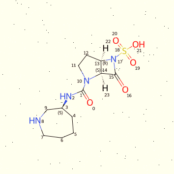 O=C(N[C@H]1CCCCNC1)N1CC[C@@H]2[C@H]1C(=O)N2S(=O)(=O)O